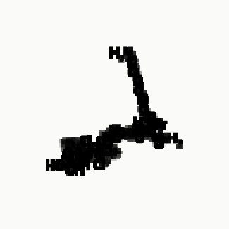 CC(C)[C@H](NC(=O)CCOCCOCCOCCOCCOCCOCCN)C(=O)N[C@@H](CCCNC(N)=O)C(=O)Nc1ccc(COC(=O)N(C)CCN(C)C(=O)Oc2cc3c(c4ccccc24)[C@H](CCl)CN3C(=O)c2ccc(C(=O)N3C[C@@H](CCl)c4c3cc(O[C@@H]3O[C@H](CO)[C@H](O)[C@H](O)[C@H]3O)c3ccccc43)s2)cc1